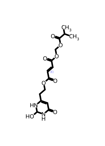 CC(C)C(=O)OCOC(=O)/C=C/C(=O)OCCC1=CC(=O)NC(O)N1